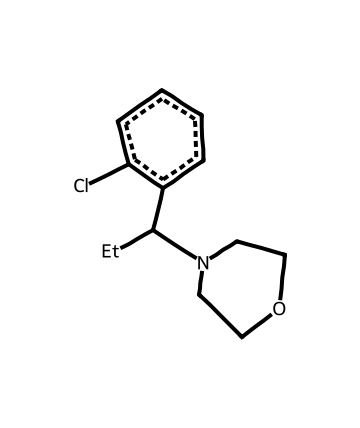 [CH2]CC(c1ccccc1Cl)N1CCOCC1